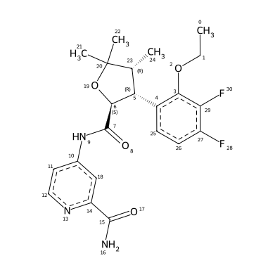 CCOc1c([C@@H]2[C@@H](C(=O)Nc3ccnc(C(N)=O)c3)OC(C)(C)[C@@H]2C)ccc(F)c1F